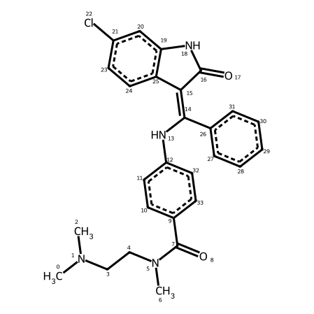 CN(C)CCN(C)C(=O)c1ccc(NC(=C2C(=O)Nc3cc(Cl)ccc32)c2ccccc2)cc1